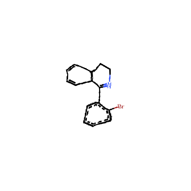 Brc1ccccc1C1=NCCC2C=CC=CC12